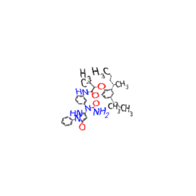 CCCC(C)c1ccc(OC(CC)C(=O)Nc2cccc(N(C(N)=O)c3cc(=O)n(-c4ccccc4)[nH]3)c2)c(C(C)CCC)c1